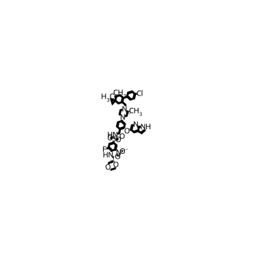 C[C@@H]1CN(c2ccc(C(=O)NS(=O)(=O)c3cc(F)c(NC[C@H]4COCCO4)c([N+](=O)[O-])c3)c(Oc3cnc4[nH]ccc4c3)c2)CCN1CC1=C(c2ccc(Cl)cc2)CC(C)(C)C2(CC2)C1